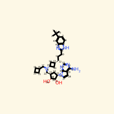 CC(C)(C)c1ccc2[nH]c(CCC[C@H]3C[C@@H](N(CC4CCC4)C[C@H]4C[C@@H](n5ccc6c(N)ncnc65)[C@H](O)[C@@H]4O)C3)nc2c1